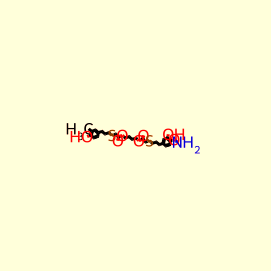 Cc1cc(CCCSCC(=O)OCCCCOC(=O)CSCCCc2ccc(ON)c(O)c2)ccc1O